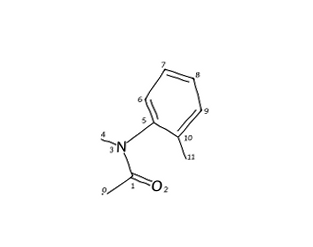 [CH2]C(=O)N(C)c1ccccc1C